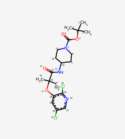 CC(C)(C)OC(=O)N1CCC(NC(=O)C(C)(C)Oc2cc(Cl)cnc2Cl)CC1